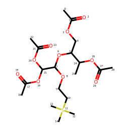 CC(=O)OCC(OC(OCCS(C)(C)C)C(OC(C)=O)OC(C)=O)C(C)OC(C)=O